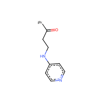 CC(C)C(=O)CCNc1ccncc1